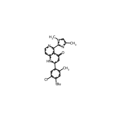 Cc1cn(C)c(-c2nccc3[nH]c(-c4cc(Cl)c(C(C)(C)C)cc4C)cc(=O)c23)n1